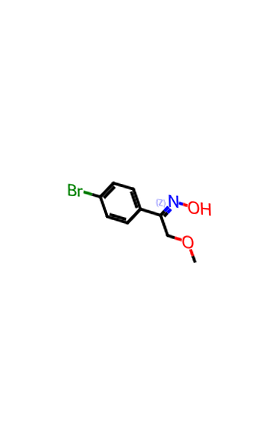 COC/C(=N\O)c1ccc(Br)cc1